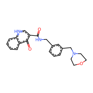 O=C(NCc1cccc(CN2CCOCC2)c1)c1c[nH]c2ccccc2c1=O